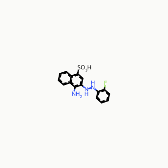 Nc1c(NNc2ccccc2F)cc(S(=O)(=O)O)c2ccccc12